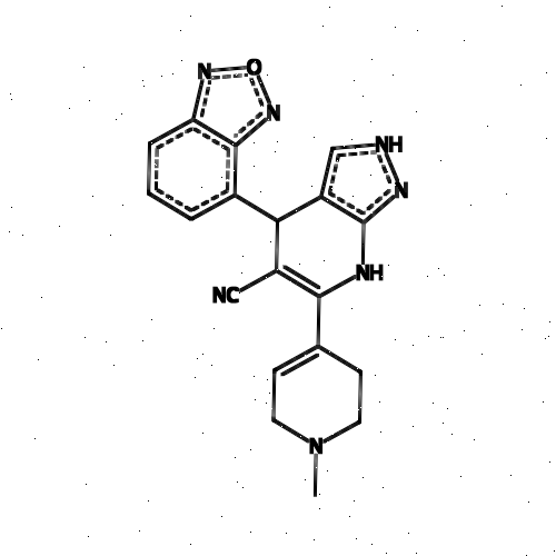 CN1CC=C(C2=C(C#N)C(c3cccc4nonc34)c3c[nH]nc3N2)CC1